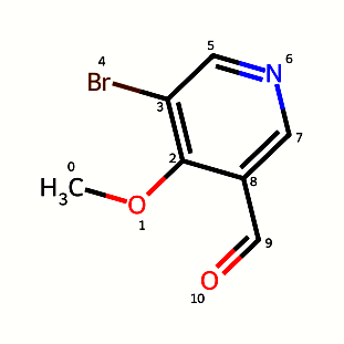 COc1c(Br)cncc1C=O